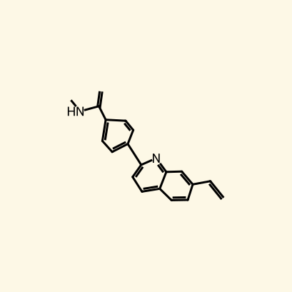 C=Cc1ccc2ccc(-c3ccc(C(=C)NC)cc3)nc2c1